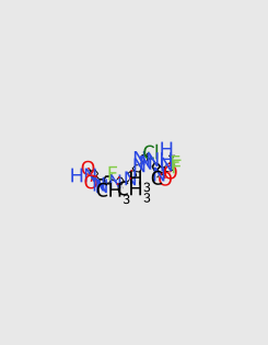 C[C@@H]1CN(c2cc3c(cc2F)c(C2CCC(=O)NC2=O)nn3C)CC[C@H]1CN1CCC2(CC1)CCN(c1ncc(Cl)c(Nc3ccc4c(c3)c3c(c(=O)n4C)OCC(F)(F)[C@H](C4CC4)N3)n1)CC2